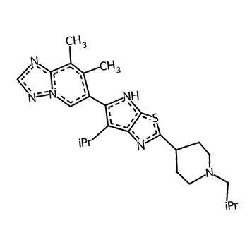 Cc1c(-c2[nH]c3sc(C4CCN(CC(C)C)CC4)nc3c2C(C)C)cn2ncnc2c1C